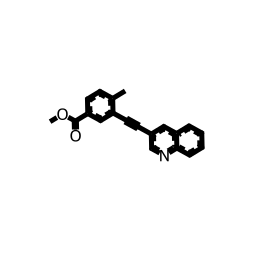 COC(=O)c1ccc(C)c(C#Cc2cnc3ccccc3c2)c1